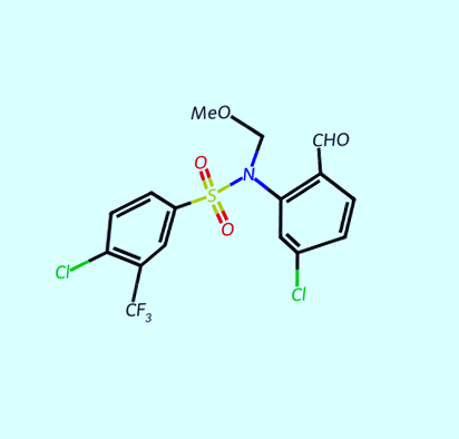 COCN(c1cc(Cl)ccc1C=O)S(=O)(=O)c1ccc(Cl)c(C(F)(F)F)c1